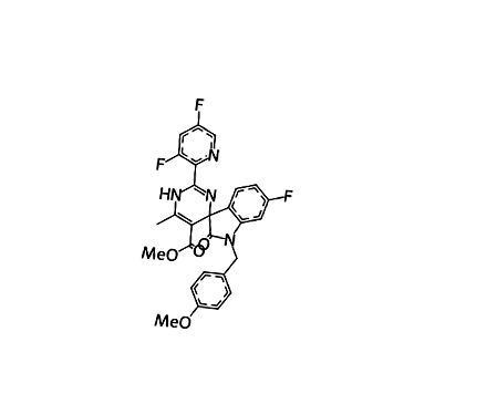 COC(=O)C1=C(C)NC(c2ncc(F)cc2F)=NC12C(=O)N(Cc1ccc(OC)cc1)c1cc(F)ccc12